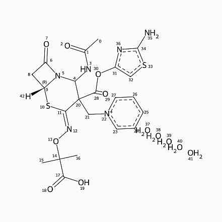 CC(=O)NC1N2C(=O)C[C@H]2SC(=NOC(C)(C)C(=O)O)C1(C[n+]1ccccc1)C(=O)Oc1csc(N)n1.O.O.O.O.O